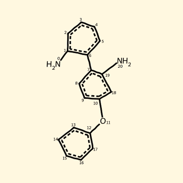 Nc1ccccc1-c1ccc(Oc2ccccc2)cc1N